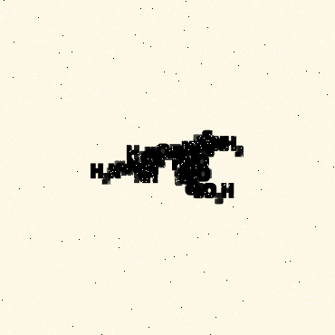 CC1(C)[C@H](NC(=O)C(=NOCCOc2ccc(C(=N)NCCN)nc2)c2csc(N)n2)C(=O)N1OS(=O)(=O)O